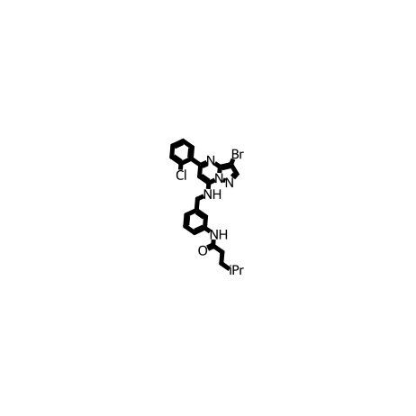 CC(C)CCC(=O)Nc1cccc(CNc2cc(-c3ccccc3Cl)nc3c(Br)cnn23)c1